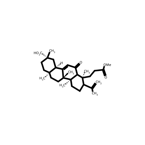 C=C(C)C1CC[C@]2(C)C(C(=O)C=C3[C@@H]4C[C@@](C)(C(=O)O)CC[C@]4(C)CC[C@]32C)[C@@]1(C)CCC(=O)OC